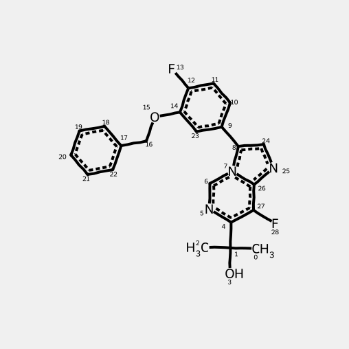 CC(C)(O)c1ncn2c(-c3ccc(F)c(OCc4ccccc4)c3)cnc2c1F